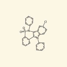 O=S1(=O)c2ccccc2-c2c(c3cc(Cl)ccc3n2-c2ccccc2)N1c1ccccc1